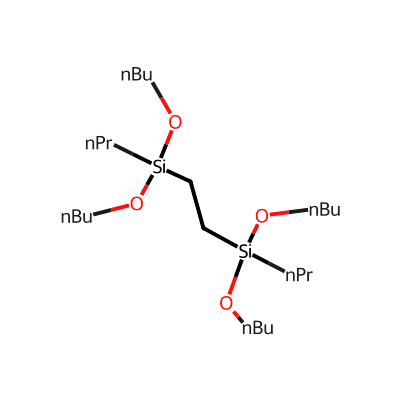 CCCCO[Si](CCC)(CC[Si](CCC)(OCCCC)OCCCC)OCCCC